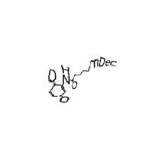 CCCCCCCCCCCCCCCC(=O)NC1=CC(=O)C=CC1=O